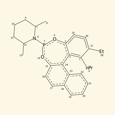 CCCC1=c2c(op(N3C(C)CCCC3C)oc3ccc4ccccc4c23)=C=C=C1CC